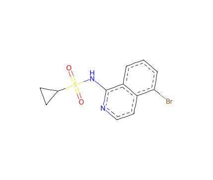 O=S(=O)(Nc1nccc2c(Br)cccc12)C1CC1